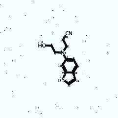 N#CCCN(CCO)c1ccc2ccsc2c1